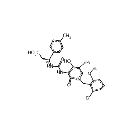 CCCc1cn(Cc2c(Cl)cccc2OCC)c(=O)c(NC(=O)N[C@@H](CC(=O)O)c2ccc(C)cc2)c1O